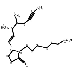 CC#CCC(C)[C@@H](O)/C=C/[C@H]1CCC(=O)N1CCCCCCC(=O)O